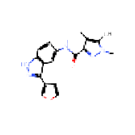 Cc1c(C(=O)Nc2ccc3[nH]nc(-c4ccoc4)c3c2)nn(C)c1C#N